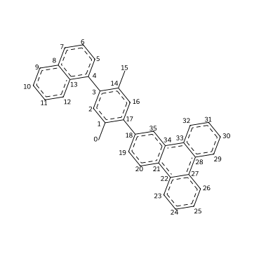 Cc1cc(-c2cccc3ccccc23)c(C)cc1-c1ccc2c3ccccc3c3ccccc3c2c1